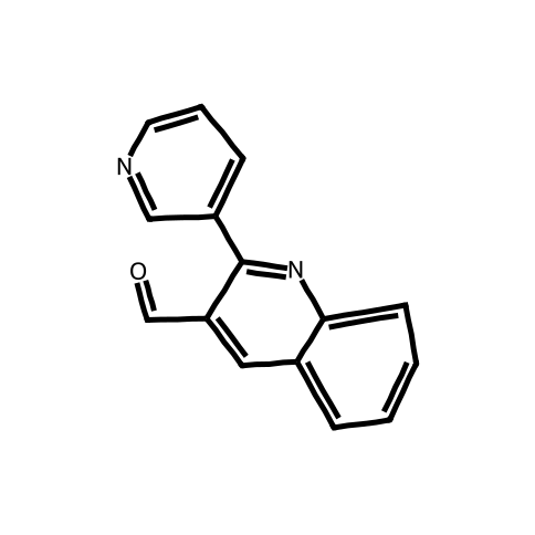 O=Cc1cc2ccccc2nc1-c1cccnc1